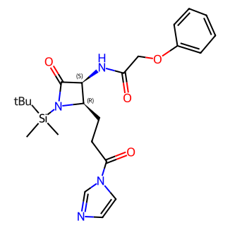 CC(C)(C)[Si](C)(C)N1C(=O)[C@@H](NC(=O)COc2ccccc2)[C@H]1CCC(=O)n1ccnc1